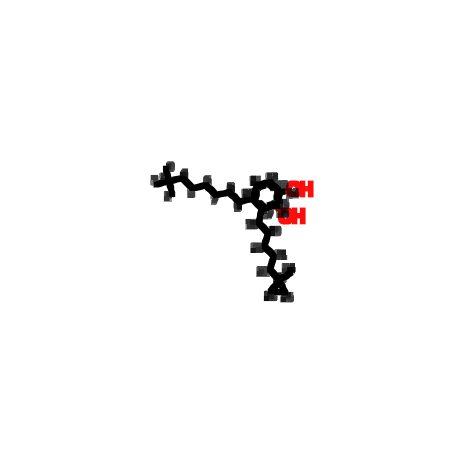 CC(C)(C)CCCCCCc1ccc(O)c(O)c1CCCCCC1(C)CC1